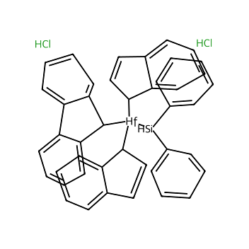 C1=C[CH]([Hf]([CH]2C=Cc3ccccc32)([CH]2c3ccccc3-c3ccccc32)[SiH](c2ccccc2)c2ccccc2)c2ccccc21.Cl.Cl